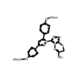 CCCCCOc1ccc(-c2cc(-c3ccc(OCCCCC)cc3)n(-c3nnc4n3N=C(C(C)(C)C)CS4)n2)cc1